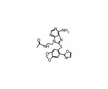 CC(=O)NCCn1c(Sc2cc3c(cc2-c2ncco2)OCO3)nc2c(N)ncnc21